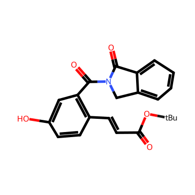 CC(C)(C)OC(=O)C=Cc1ccc(O)cc1C(=O)N1Cc2ccccc2C1=O